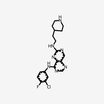 Fc1ccc(Nc2ncnc3cnc(NCCC4CCNCC4)nc23)cc1Cl